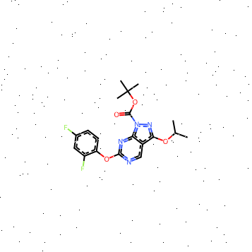 CC(C)Oc1nn(C(=O)OC(C)(C)C)c2nc(Oc3ccc(F)cc3F)ncc12